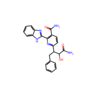 NC(=O)c1ccc(C(Cc2ccccc2)C(O)C(N)=O)nc1-c1nc2ccccc2[nH]1